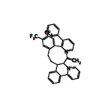 C=C1C2C(CCc3cc(C(F)(F)F)c(C(F)(F)F)cc3-c3c(-c4ccccc4)ccc[n+]31)c1ccccc1-c1cccc[n+]12